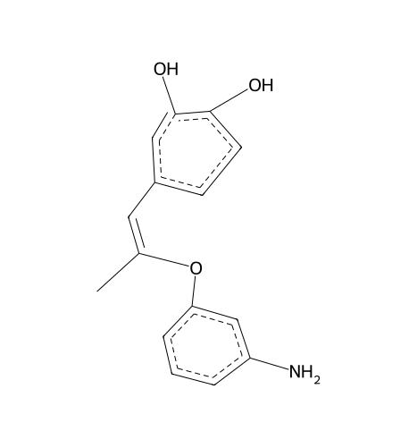 C/C(=C/c1ccc(O)c(O)c1)Oc1cccc(N)c1